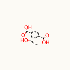 CC=CO.O=C(O)c1ccc(C(=O)O)cc1